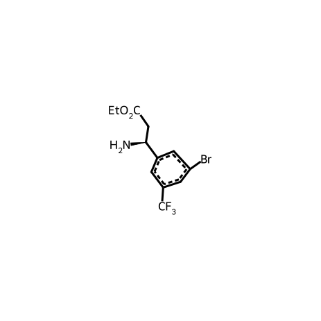 CCOC(=O)C[C@H](N)c1cc(Br)cc(C(F)(F)F)c1